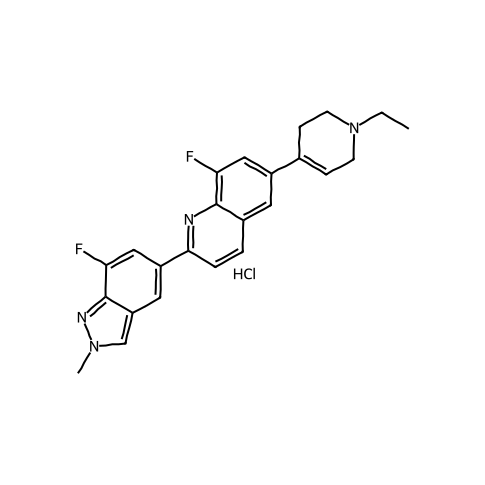 CCN1CC=C(c2cc(F)c3nc(-c4cc(F)c5nn(C)cc5c4)ccc3c2)CC1.Cl